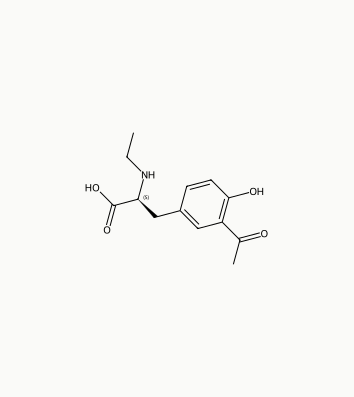 CCN[C@@H](Cc1ccc(O)c(C(C)=O)c1)C(=O)O